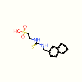 O=S(=O)(O)CCNC(=S)NCc1ccc2ccccc2c1